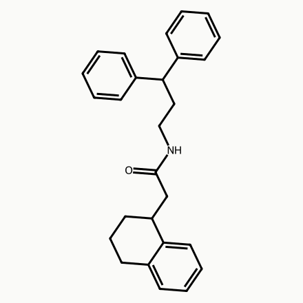 O=C(CC1CCCc2ccccc21)NCCC(c1ccccc1)c1ccccc1